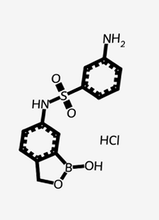 Cl.Nc1cccc(S(=O)(=O)Nc2ccc3c(c2)B(O)OC3)c1